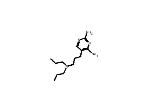 CCCN(CCC)CCCc1cnc(N)nc1N